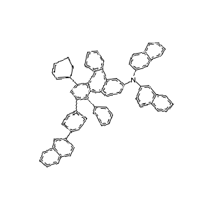 C1=CCCC(c2cc(-c3ccc(-c4ccc5ccccc5c4)cc3)c(-c3ccccc3)c3c4ccc(N(c5ccc6ccccc6c5)c5ccc6ccccc6c5)cc4c4ccccc4c23)=C1